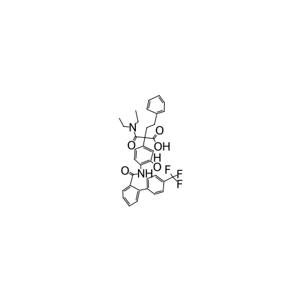 CCN(CC)C(=O)C(CCc1ccccc1)(C(=O)O)c1ccc(NC(=O)c2ccccc2-c2ccc(C(F)(F)F)cc2)c(O)c1